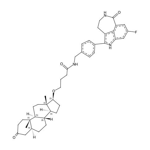 C[C@]12CCC(=O)C[C@@H]1CC[C@@H]1[C@@H]2CC[C@]2(C)[C@@H](OCCCC(=O)NCc3ccc(-c4[nH]c5cc(F)cc6c5c4CCNC6=O)cc3)CC[C@@H]12